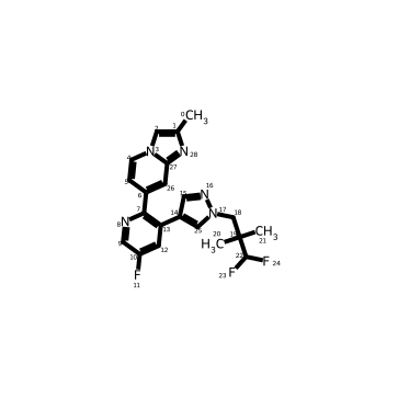 Cc1cn2ccc(-c3ncc(F)cc3-c3cnn(CC(C)(C)C(F)F)c3)cc2n1